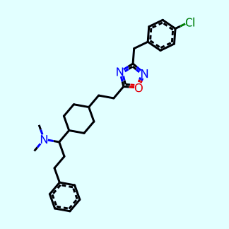 CN(C)C(CCc1ccccc1)C1CCC(CCc2nc(Cc3ccc(Cl)cc3)no2)CC1